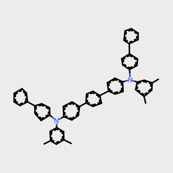 Cc1cc(C)cc(N(c2ccc(-c3ccccc3)cc2)c2ccc(-c3ccc(-c4ccc(N(c5ccc(-c6ccccc6)cc5)c5cc(C)cc(C)c5)cc4)cc3)cc2)c1